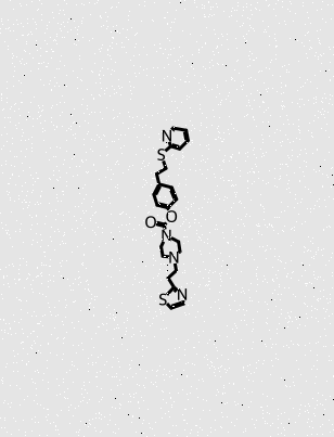 O=C(Oc1ccc(CCSc2ccccn2)cc1)N1CCN(CCc2nccs2)CC1